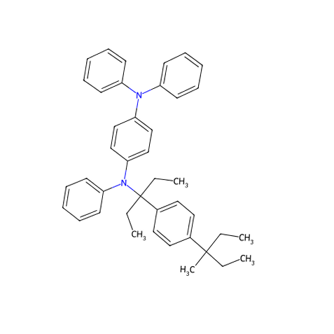 CCC(C)(CC)c1ccc(C(CC)(CC)N(c2ccccc2)c2ccc(N(c3ccccc3)c3ccccc3)cc2)cc1